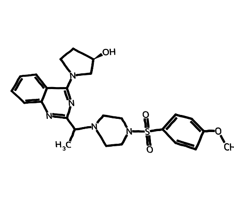 COc1ccc(S(=O)(=O)N2CCN(C(C)c3nc(N4CC[C@@H](O)C4)c4ccccc4n3)CC2)cc1